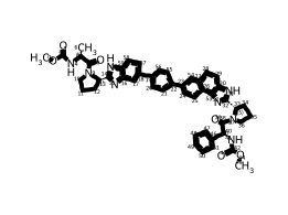 COC(=O)N[C@H](C)C(=O)N1CCC[C@H]1c1nc2cc(-c3ccc(-c4ccc5c(ccc6[nH]c([C@@H]7CCCN7C(=O)[C@H](NC(=O)OC)c7ccccc7)nc65)c4)cc3)ccc2[nH]1